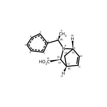 C[C@H](c1ccccc1)N1[C@@H]2C=C[C@@H](C2)[C@H]1C(=O)O